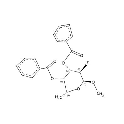 CO[C@H]1O[C@H](C)[C@H](OC(=O)c2ccccc2)[C@H](OC(=O)c2ccccc2)[C@H]1F